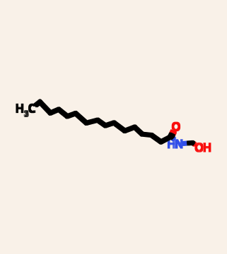 CCCCCCCCCCCCCCCC(=O)NCO